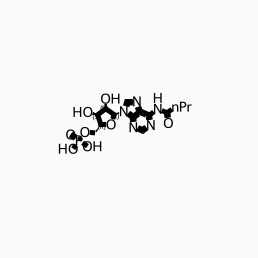 CCCC(=O)Nc1ncnc2c1ncn2[C@@H]1O[C@H](COP(=O)(O)O)[C@@H](O)[C@H]1O